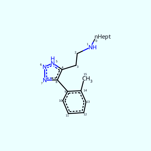 CCCCCCCNCCc1[nH]nnc1-c1ccccc1C